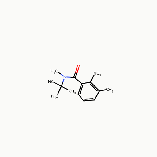 Cc1cccc(C(=O)N(C)C(C)(C)C#N)c1[N+](=O)[O-]